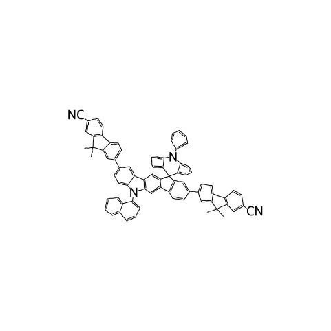 CC1(C)c2cc(C#N)ccc2-c2ccc(-c3ccc4c(c3)C3(c5cc6c7cc(-c8ccc9c(c8)C(C)(C)c8cc(C#N)ccc8-9)ccc7n(-c7cccc8ccccc78)c6cc5-4)c4ccccc4N(c4ccccc4)c4ccccc43)cc21